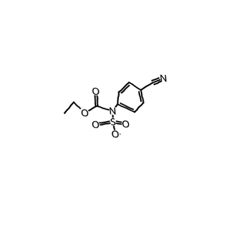 CCOC(=O)N(c1ccc(C#N)cc1)S([O])(=O)=O